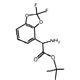 CC(C)(C)OC(=O)C(N)c1cccc2c1OC(F)(F)O2